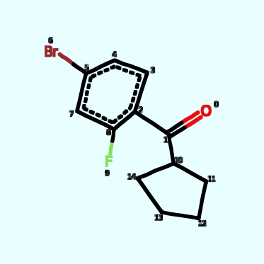 O=C(c1ccc(Br)cc1F)C1CCCC1